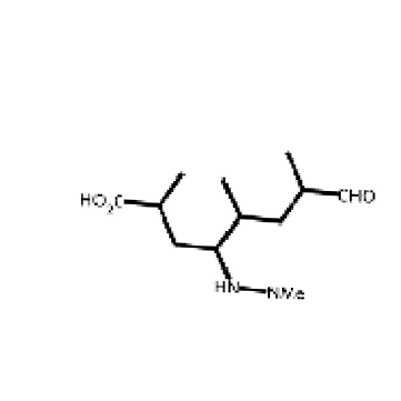 CNNC(CC(C)C(=O)O)C(C)CC(C)C=O